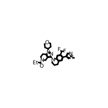 CCC(=O)N1CCc2c(c(N3CCCc4cc(-c5cnn(C)c5)c(C(F)F)cc43)nn2C2CCOCC2)C1